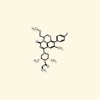 C=CC(=O)N1[C@H](C)CN(c2nc(=O)n3c4c(c(-c5ccc(F)cc5)c(C)cc24)SCC3COC)C[C@@H]1C